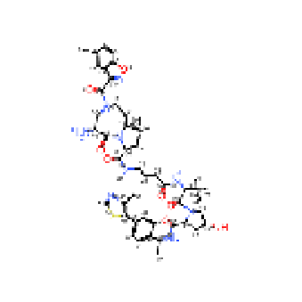 Cc1ccc2onc(C(=O)N3CC[C@H]4CC[C@@H](C(=O)N(C)CCCC(=O)N[C@H](C(=O)N5C[C@H](O)C[C@H]5C(=O)N[C@@H](C)c5ccc(-c6scnc6C)cc5)C(C)(C)C)N4C(=O)[C@@H](N)C3)c2c1